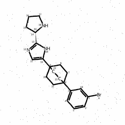 Brc1cccc(C23CCC(c4cnc([C@@H]5CCCN5)[nH]4)(CC2)CC3)c1